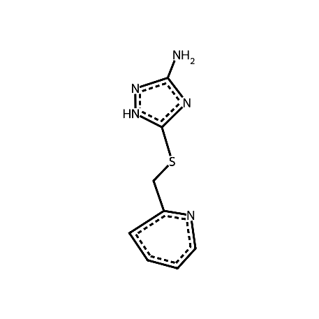 Nc1n[nH]c(SCc2ccccn2)n1